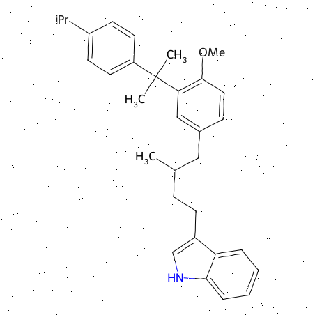 COc1ccc(CC(C)CCc2c[nH]c3ccccc23)cc1C(C)(C)c1ccc(C(C)C)cc1